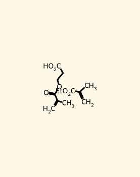 C=C(C)C(=O)OCC.C=C(C)C(=O)OCCC(=O)O